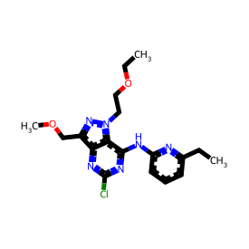 CCOCCn1nc(COC)c2nc(Cl)nc(Nc3cccc(CC)n3)c21